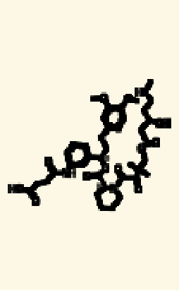 CNCCC(O)CC(=O)OCC(C)(C)C(=O)C(=O)N1CCCC[C@H]1C(=O)O[C@H](CCc1ccc(OC)c(OC)c1)c1cccc(NC(=O)CCC(=O)O)c1